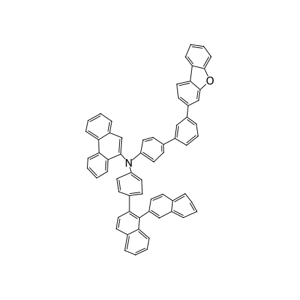 c1cc(-c2ccc(N(c3ccc(-c4ccc5ccccc5c4-c4ccc5ccccc5c4)cc3)c3cc4ccccc4c4ccccc34)cc2)cc(-c2ccc3c(c2)oc2ccccc23)c1